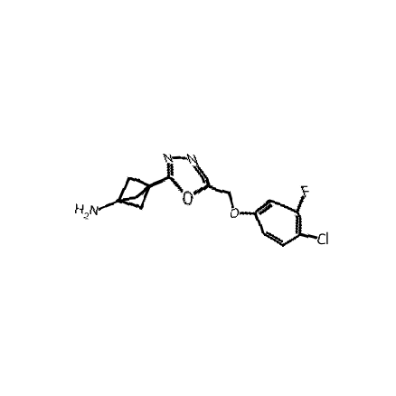 NC12CC(c3nnc(COc4ccc(Cl)c(F)c4)o3)(C1)C2